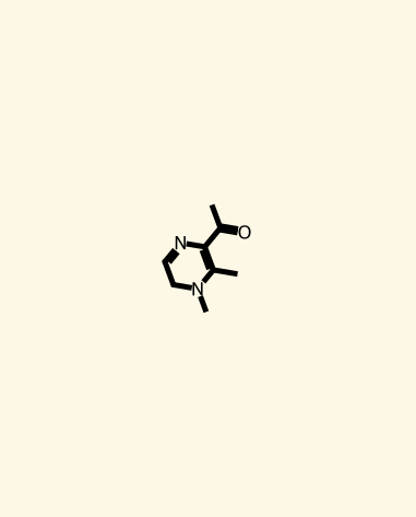 CC(=O)C1=C(C)N(C)CC=N1